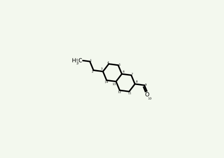 CCCC1CCC2CC(C=O)CCC2C1